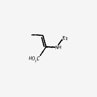 CC=C(NCC)C(=O)O